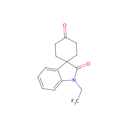 O=C1CCC2(CC1)C(=O)N(CC(F)(F)F)c1ccccc12